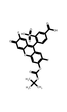 CC(C)(C)OC(=O)Oc1cc2oc3cc(=O)c(F)cc-3c(-c3ccc(C(=O)O)cc3S(=O)(=O)O)c2cc1F